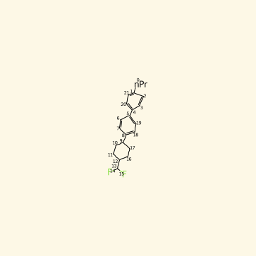 CCCc1ccc(-c2ccc(C3CCC(C(F)F)CC3)cc2)cc1